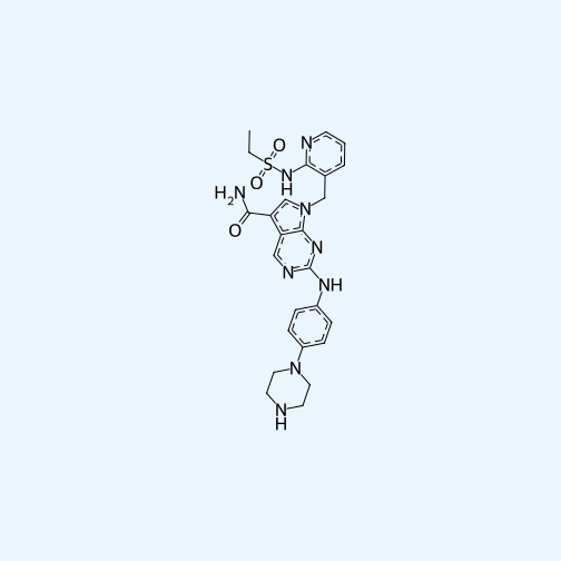 CCS(=O)(=O)Nc1ncccc1Cn1cc(C(N)=O)c2cnc(Nc3ccc(N4CCNCC4)cc3)nc21